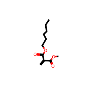 C=C(C(=O)OC)C(=O)OCCCCCC